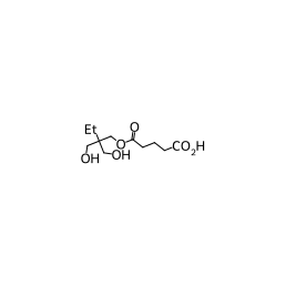 CCC(CO)(CO)COC(=O)CCCC(=O)O